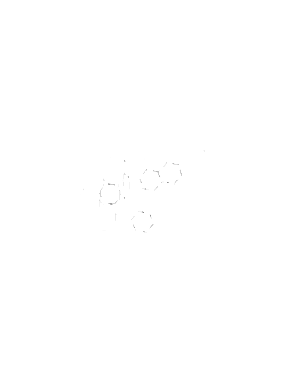 CCN(c1ccccc1)c1nc(C)nc(Nc2ccc3c(O)cc(SOOO)cc3c2SOOO)n1